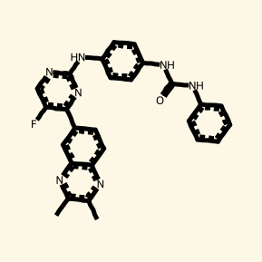 Cc1nc2ccc(-c3nc(Nc4ccc(NC(=O)Nc5ccccc5)cc4)ncc3F)cc2nc1C